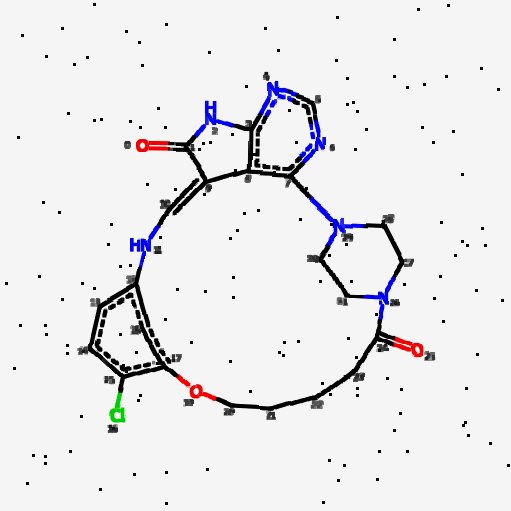 O=C1Nc2ncnc3c2/C1=C\Nc1ccc(Cl)c(c1)OCCCCC(=O)N1CCN3CC1